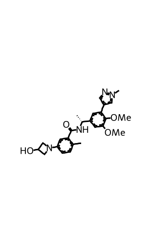 COc1cc([C@@H](C)NC(=O)c2cc(N3CC(O)C3)ccc2C)cc(-c2cnn(C)c2)c1OC